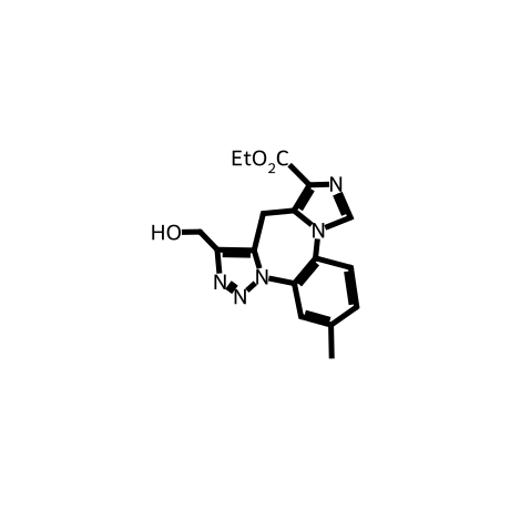 CCOC(=O)c1ncn2c1Cc1c(CO)nnn1-c1cc(C)ccc1-2